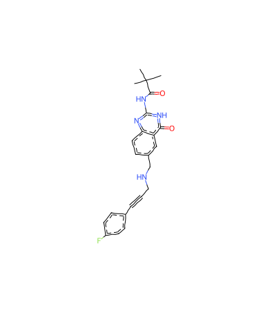 CC(C)(C)C(=O)Nc1nc2ccc(CNCC#Cc3ccc(F)cc3)cc2c(=O)[nH]1